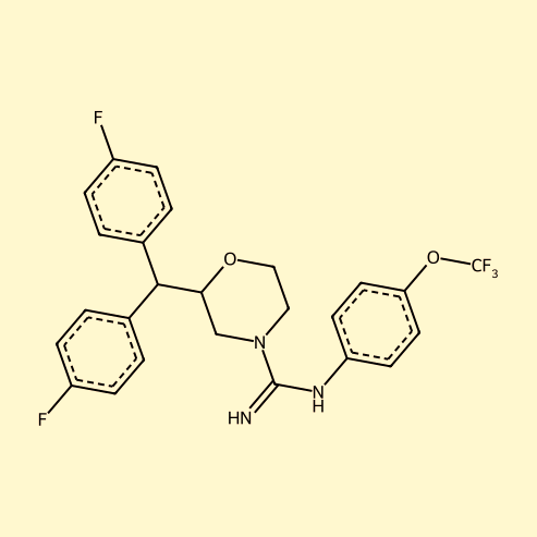 N=C(Nc1ccc(OC(F)(F)F)cc1)N1CCOC(C(c2ccc(F)cc2)c2ccc(F)cc2)C1